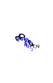 N#Cc1ccc2nc(CN(CCCCN)C3CCCc4cccnc43)cn2c1